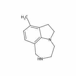 Cc1ccc2c3c1CCN3CCNC2